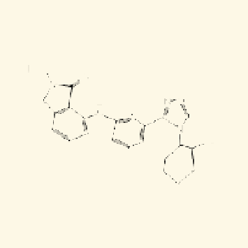 CN1Cc2cccc(Nc3cccc(-c4nncn4C4CCCCC4O)n3)c2C1=O